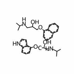 CC(C)NCC(O)COc1cccc2[nH]ccc12.CC(C)NCC(O)COc1cccc2ccccc12